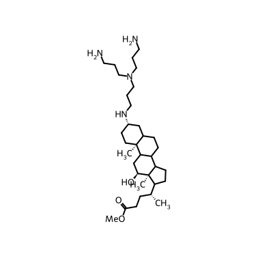 COC(=O)CC[C@@H](C)C1CCC2C3CCC4C[C@@H](NCCCN(CCCN)CCCN)CC[C@]4(C)C3C[C@H](O)[C@@]21C